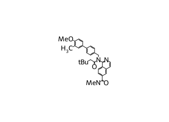 CNC(=O)c1ccc2c(N(Cc3ccc(-c4ccc(OC)c(C)c4)cc3)C(=O)CC(C)(C)C)nccc2c1